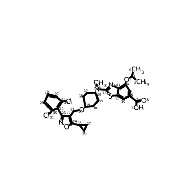 CC(C)Oc1cc(C(=O)O)cc2sc(N(C)[C@H]3CC[C@H](OCc4c(-c5c(Cl)cccc5Cl)noc4C4CC4)CC3)nc12